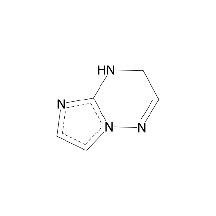 C1=Nn2ccnc2NC1